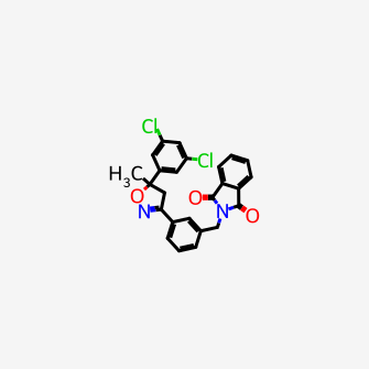 CC1(c2cc(Cl)cc(Cl)c2)CC(c2cccc(CN3C(=O)c4ccccc4C3=O)c2)=NO1